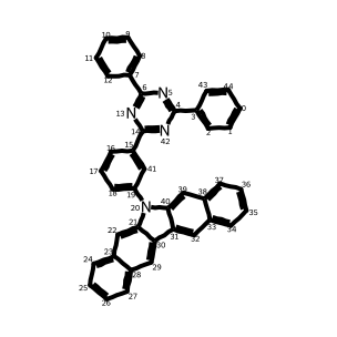 c1ccc(-c2nc(-c3ccccc3)nc(-c3cccc(-n4c5cc6ccccc6cc5c5cc6ccccc6cc54)c3)n2)cc1